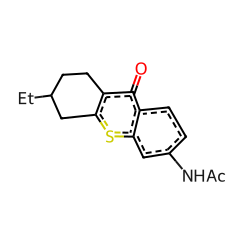 CCC1CCc2c(sc3cc(NC(C)=O)ccc3c2=O)C1